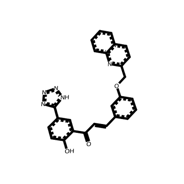 O=C(C=Cc1cccc(OCc2ccc3ccccc3n2)c1)c1cc(-c2nnn[nH]2)ccc1O